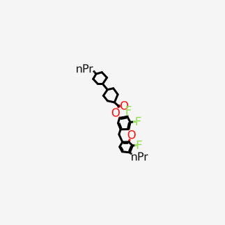 CCCc1ccc2c(c1F)Oc1c(cc(OC(=O)C3CCC(C4CCC(CCC)CC4)CC3)c(F)c1F)C2